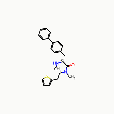 CN[C@H](Cc1ccc(-c2ccccc2)cc1)C(=O)N(C)CCc1cccs1